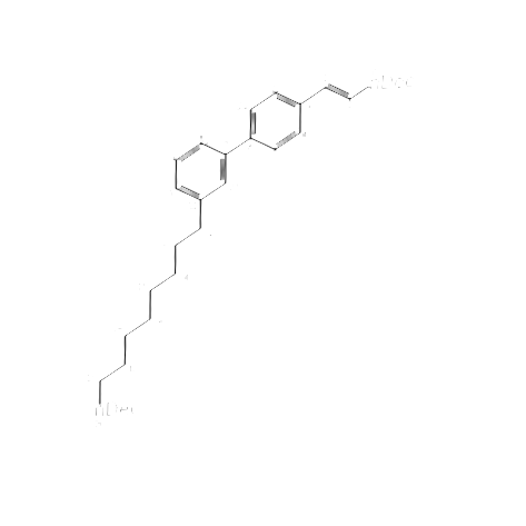 CCCCCCCCCCC=Cc1ccc(-c2[c]ccc(CCCCCCCCCCCCCCCCCC)c2)cc1